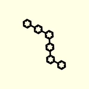 [c]1c(-c2ccc(-c3ccccc3)cc2)cccc1-c1ccc(-c2cccc(-c3ccccc3)c2)cc1